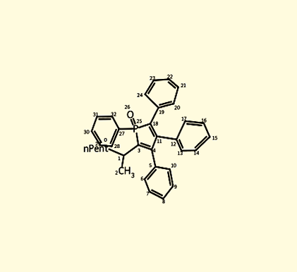 CCCCCC(C)C1=C(c2ccccc2)C(c2ccccc2)=C(c2ccccc2)P1(=O)c1ccccc1